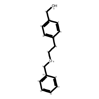 OCc1ccc(CCOCc2ccccc2)cc1